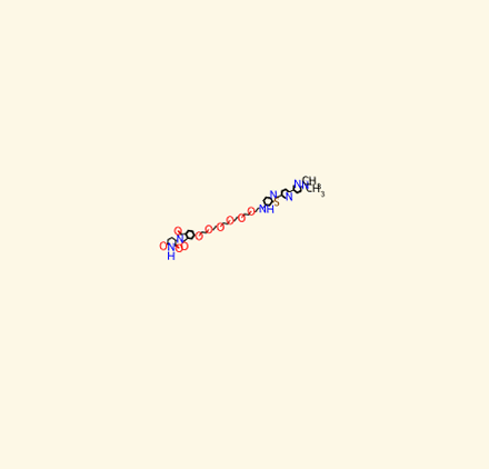 CN(C)c1ccc(-c2ccc(-c3nc4ccc(NCCOCCOCCOCCOCCOCCOc5ccc6c(c5)C(=O)N(C5CCC(=O)NC5=O)C6=O)cc4s3)cn2)cn1